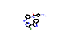 NC12CC(C(=O)Nc3cccc(Nc4ncc(Cl)c(-c5c[nH]c6ccccc56)n4)c3)(C1)C2